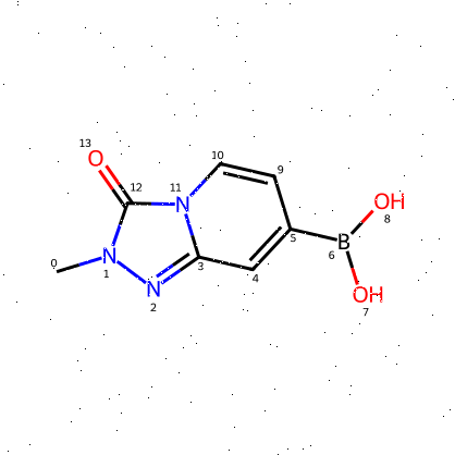 Cn1nc2cc(B(O)O)ccn2c1=O